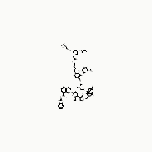 CCC(=O)N[C@H]1C[C@@H](COCCS(=O)(=O)O)N(CC(=O)NCCCCc2ccc(COC(=O)N(C)CCOC34CC5(C)CC(C)(CC(Cn6ncc(-c7ccc(N8CCc9cccc(C(=O)Nc%10nc%11ccccc%11s%10)c9C8)nc7C(=O)O)c6C)(C5)C3)C4)c(O[C@@H]3O[C@H](C(=O)O)[C@@H](O)[C@H](O)[C@H]3O)c2)C1=O